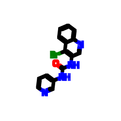 O=C(Nc1cccnc1)Nc1cnc2ccccc2c1Br